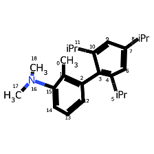 Cc1c(-c2c(C(C)C)cc(C(C)C)cc2C(C)C)cccc1N(C)C